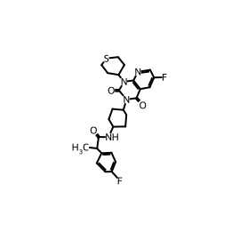 CC(C(=O)NC1CCC(n2c(=O)c3cc(F)cnc3n(C3CCSCC3)c2=O)CC1)c1ccc(F)cc1